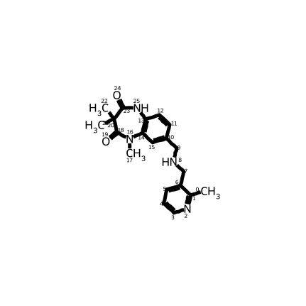 Cc1ncccc1CNCc1ccc2c(c1)N(C)C(=O)C(C)(C)C(=O)N2